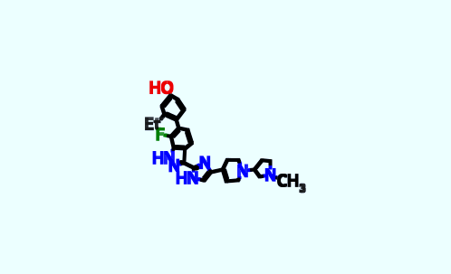 CCc1cc(O)ccc1-c1ccc2c(-c3nc(C4=CCN(C5CCN(C)C5)CC4)c[nH]3)n[nH]c2c1F